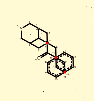 O=C(OC1C2CSCC1CN(Cc1ccccc1)C2)c1ccccc1